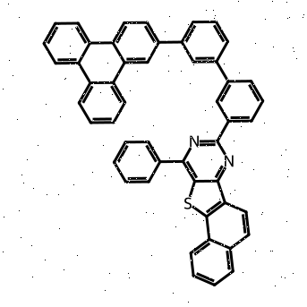 c1ccc(-c2nc(-c3cccc(-c4cccc(-c5ccc6c7ccccc7c7ccccc7c6c5)c4)c3)nc3c2sc2c4ccccc4ccc32)cc1